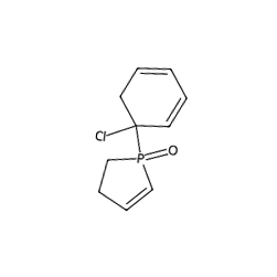 O=P1(C2(Cl)C=CC=CC2)C=CCC1